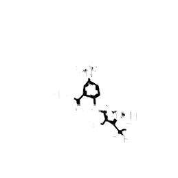 CC(=O)c1cc([N+](=O)[O-])ccc1Oc1nn(C)c(C(F)(F)F)c1Cl